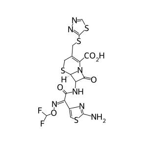 Nc1nc(/C(=N\OC(F)F)C(=O)NC2C(=O)N3C(C(=O)O)=C(CSc4nncs4)CS[C@H]23)cs1